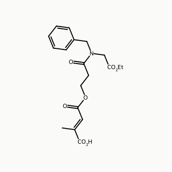 CCOC(=O)CN(Cc1ccccc1)C(=O)CCOC(=O)C=C(C)C(=O)O